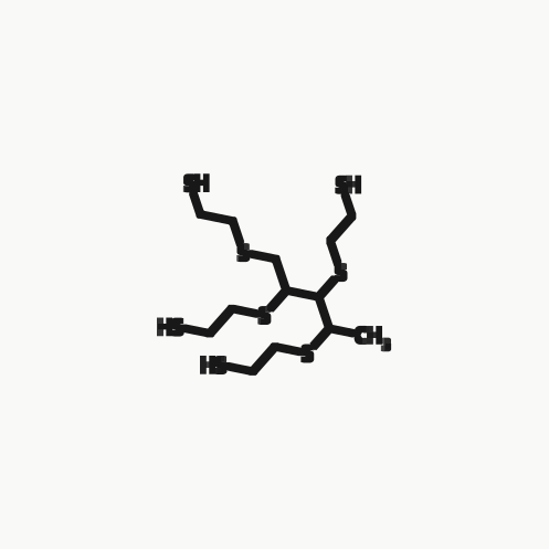 CC(SCCS)C(SCCS)C(CSCCS)SCCS